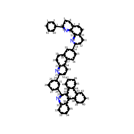 c1ccc(-c2ccc3ccc4ccc(-c5ccc6c(ccc7nc(-c8cccc(-c9nc%10ccccc%10c%10c%11ccccc%11c%11ccccc%11c9%10)c8)ccc76)c5)nc4c3n2)cc1